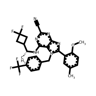 COc1ccc(C)cc1-c1nc2nc(C#N)nc(N[C@H](C)C3CC(F)(F)C3)c2n1Cc1ccc(C(F)(F)F)cc1